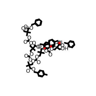 Cc1ccc(COC(=O)C(C)(COC(=O)OCC(C)(COC(=O)OCC(C)(CO)C(=O)OCc2ccccc2)C(=O)OCc2ccc(CCl)cc2)COC(=O)OCC(C)(COC(=O)OCC(C)(CO)C(=O)OCc2ccccc2)C(=O)OCc2ccc(CCl)cc2)cc1